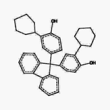 Oc1ccc(C2(c3ccc(O)c(C4CCCCC4)c3)c3ccccc3-c3ccccc32)cc1C1CCCCC1